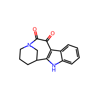 O=C1C(=O)N2CCCC(C2)c2[nH]c3ccccc3c21